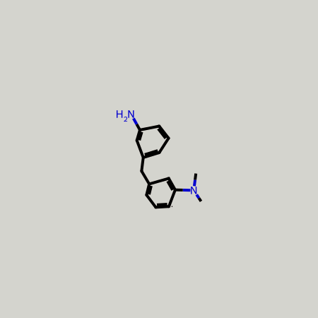 CN(C)c1[c]ccc(Cc2cccc(N)c2)c1